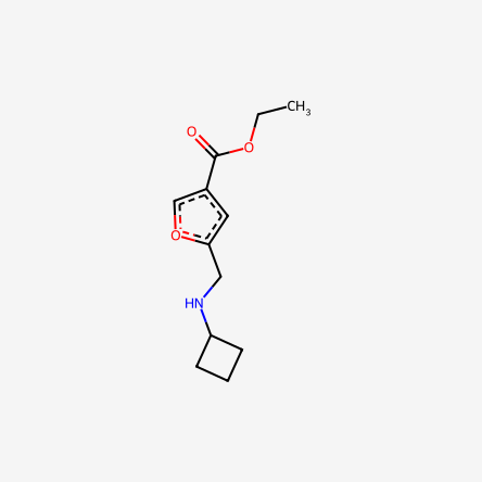 CCOC(=O)c1coc(CNC2CCC2)c1